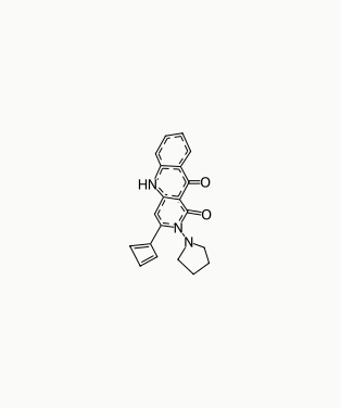 O=c1c2ccccc2[nH]c2cc(C3=CC=C3)n(N3CCCC3)c(=O)c12